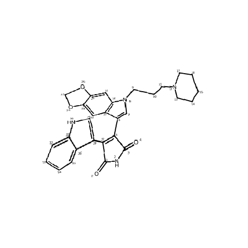 O=C1NC(=O)C(c2cn(CCCN3CCCCC3)c3cc4c(cc23)OCO4)=C1c1c[nH]c2ccccc12